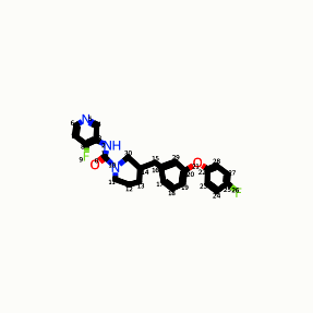 O=C(Nc1cnccc1F)N1CCCC(Cc2cccc(Oc3ccc(F)cc3)c2)C1